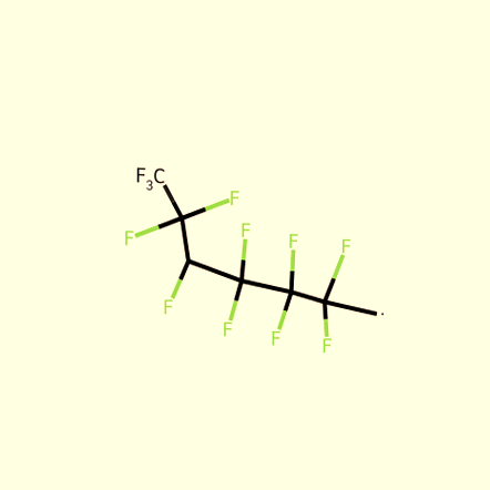 [CH2]C(F)(F)C(F)(F)C(F)(F)C(F)C(F)(F)C(F)(F)F